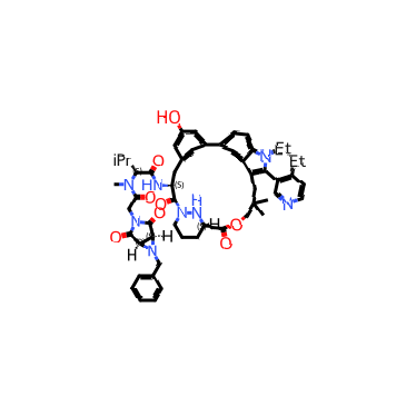 CCc1ccncc1-c1c2c3cc(ccc3n1CC)-c1cc(O)cc(c1)C[C@H](NC(=O)[C@H](C(C)C)N(C)C(=O)CN1C(=O)[C@@H]3[C@H](C1=O)N3Cc1ccccc1)C(=O)N1CCC[C@H](N1)C(=O)OCC(C)(C)C2